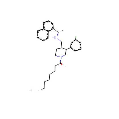 C[C@@H](NCC1CCN(C(=O)CCCCCCC(=O)O)CC1c1cccc(F)c1)c1cccc2ccccc12